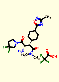 Cc1noc(C2CCC([C@H](C(=O)N(C)C)[C@H](N)C(=O)N3CCC(F)(F)C3)CC2)n1.O=C(O)C(F)(F)F